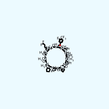 CC(C)C[C@H]1C(=O)N[C@@H](C2CCCCC2)C(=O)N(C)CC(=O)N(C)CC(=O)N(C)[C@@H](CCCCC(F)F)C(=O)N(C)CC(=O)N[C@@H](CCc2ccc(C(F)(F)F)c(F)c2)C(=O)N(C)[C@@H](CC(C)C)C(=O)NC(C)(C)C(=O)N(C)[C@@H](CC(C)C)C(=O)N[C@H](C(=O)N2CCCC2)CC(=O)N1C